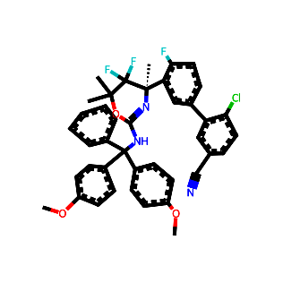 COc1ccc(C(NC2=N[C@](C)(c3cc(-c4cc(C#N)ccc4Cl)ccc3F)C(F)(F)C(C)(C)O2)(c2ccccc2)c2ccc(OC)cc2)cc1